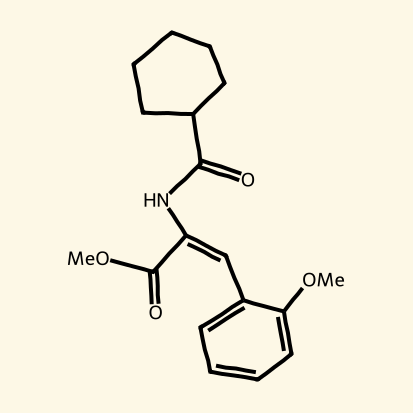 COC(=O)/C(=C\c1ccccc1OC)NC(=O)C1CCCCC1